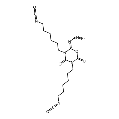 CCCCCCC/N=c1\oc(=O)n(CCCCCCN=C=O)c(=O)n1CCCCCCN=C=O